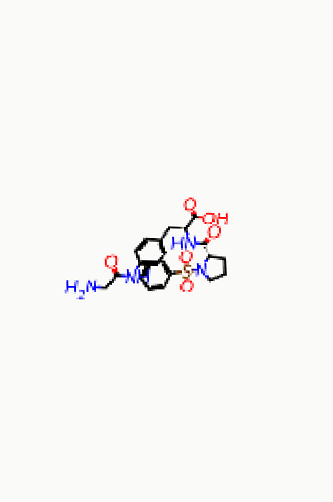 NCC(=O)Nc1ccc(C[C@H](NC(=O)[C@@H]2CCCN2S(=O)(=O)c2ccccc2)C(=O)O)cc1